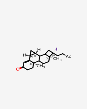 CC(=O)CC[C@]1(I)CC2C3C(CC[C@@]21C)[C@@]1(C)CCC(=O)C=C1[C@@H]1C[C@H]31